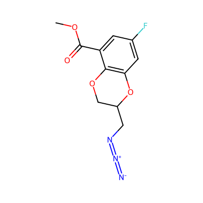 COC(=O)c1cc(F)cc2c1OCC(CN=[N+]=[N-])O2